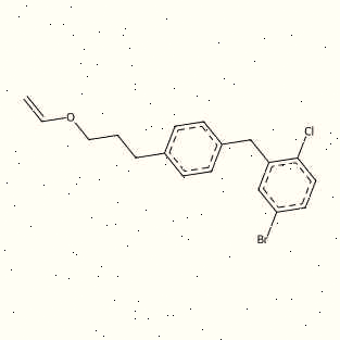 C=COCCCc1ccc(Cc2cc(Br)ccc2Cl)cc1